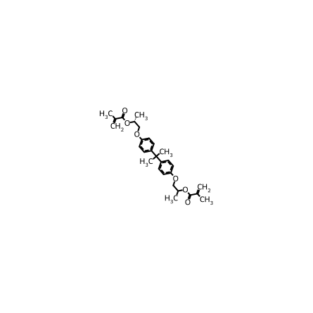 C=C(C)C(=O)OC(C)COc1ccc(C(C)(C)c2ccc(OC[C@@H](C)OC(=O)C(=C)C)cc2)cc1